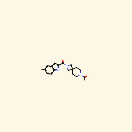 O=C(c1cc2cc(Br)ccc2[nH]1)N1CC2(CCN(C(=O)C(F)(F)F)CC2)C1